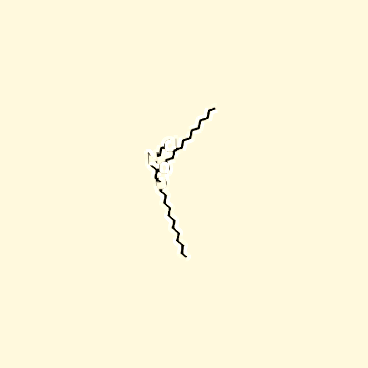 CCCCCCCCCCCCOCC(CN(C)CCCl)OCCCCCCCCCCCC